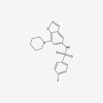 O=S(=O)(Nc1cc(N2CCCCC2)c2occc2c1)c1ccc(F)cc1